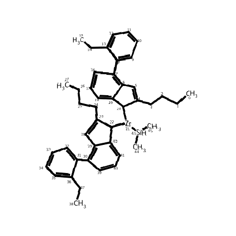 CCCCC1=Cc2c(-c3ccccc3CC)cccc2[CH]1[Zr]([CH]1C(CCCC)=Cc2c(-c3ccccc3CC)cccc21)[SiH](C)C